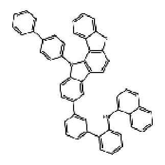 c1ccc(-c2ccc(-n3c4ccc(-c5cccc(-c6ccccc6Nc6cccc7ccccc67)c5)cc4c4ccc5sc6ccccc6c5c43)cc2)cc1